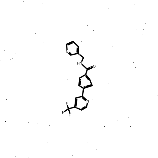 O=C(NCc1cccnc1)c1ccc(-c2cc(C(F)(F)F)ccn2)cc1